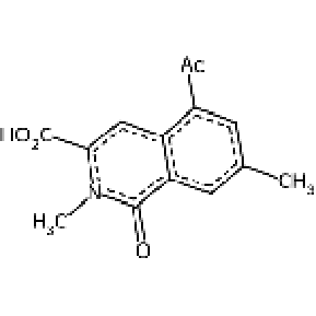 CC(=O)c1cc(C)cc2c(=O)n(C)c(C(=O)O)cc12